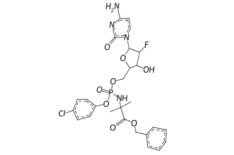 CC(C)(NP(=O)(OCC1OC(n2ccc(N)nc2=O)C(F)C1O)Oc1ccc(Cl)cc1)C(=O)OCc1ccccc1